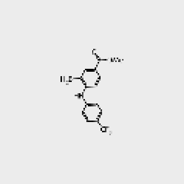 Bc1cc(C(=O)OC)ccc1Nc1ccc(C(F)(F)F)cc1